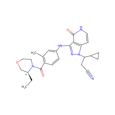 CC[C@H]1COCCN1C(=O)c1ccc(Nc2nn(C(CC#N)C3CC3)c3cc[nH]c(=O)c23)cc1C